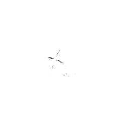 [O-][Si]([O-])([O-])[O-].[W+4]